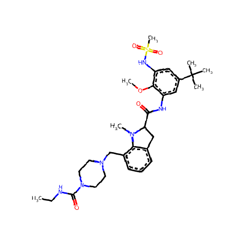 CCNC(=O)N1CCN(Cc2cccc3c2N(C)C(C(=O)Nc2cc(C(C)(C)C)cc(NS(C)(=O)=O)c2OC)C3)CC1